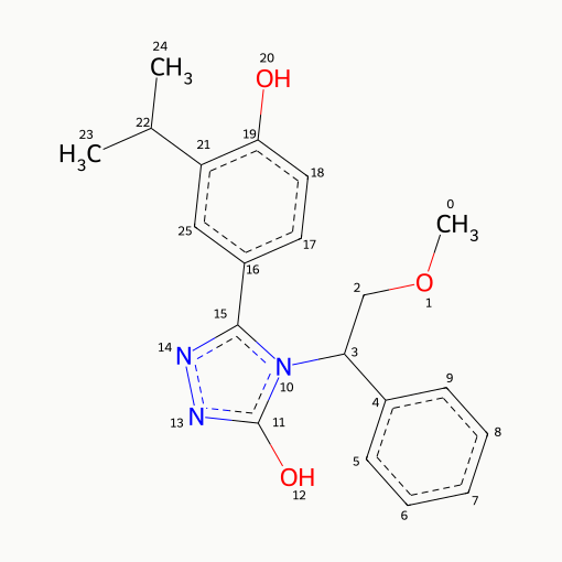 COCC(c1ccccc1)n1c(O)nnc1-c1ccc(O)c(C(C)C)c1